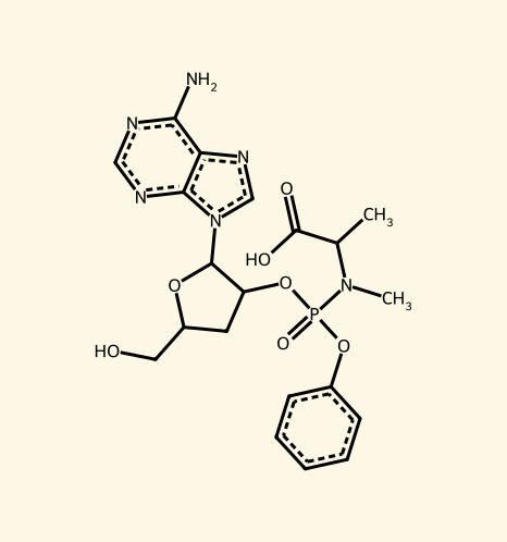 CC(C(=O)O)N(C)P(=O)(Oc1ccccc1)OC1CC(CO)OC1n1cnc2c(N)ncnc21